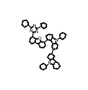 c1ccc(-c2nc(-c3ccccc3)nc(-c3cccc4c3oc3c(-c5cccc6c5c5cc(-c7ccc8c(c7)c7ccccc7n8-c7ccccc7)ccc5n6-c5ccccc5)cccc34)n2)cc1